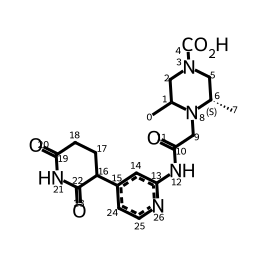 CC1CN(C(=O)O)C[C@H](C)N1CC(=O)Nc1cc(C2CCC(=O)NC2=O)ccn1